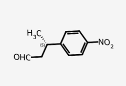 C[C@@H](CC=O)c1ccc([N+](=O)[O-])cc1